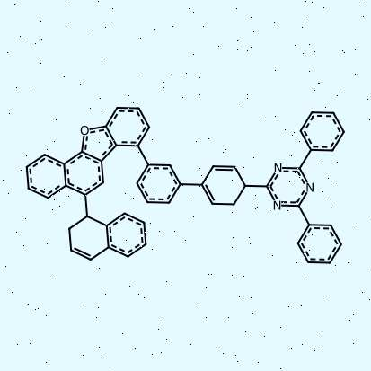 C1=Cc2ccccc2C(c2cc3c(oc4cccc(-c5cccc(C6=CCC(c7nc(-c8ccccc8)nc(-c8ccccc8)n7)C=C6)c5)c43)c3ccccc23)C1